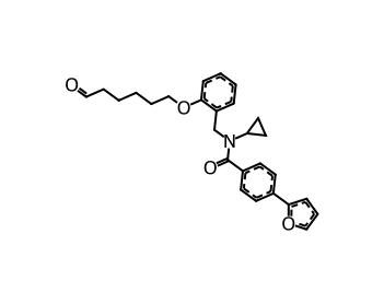 O=CCCCCCOc1ccccc1CN(C(=O)c1ccc(-c2ccco2)cc1)C1CC1